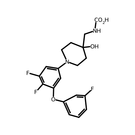 O=C(O)NCC1(O)CCN(c2cc(F)c(F)c(Oc3cccc(F)c3)c2)CC1